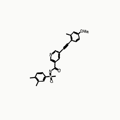 COc1ccc(C#Cc2cncc(C(=O)N=S(C)(=O)c3ccc(C)c(C)c3)c2)c(C)c1